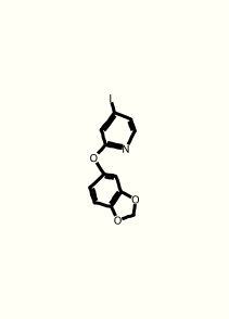 Ic1ccnc(Oc2ccc3c(c2)OCO3)c1